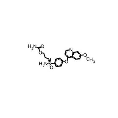 COc1ccc2c(Oc3ccc(S(N)(=O)=NCCOC(N)=O)cc3)ccnc2c1